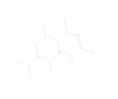 CCC(/C=C(/F)c1c(C)nc(N)[nH]c1=O)C(C)C